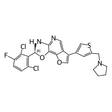 C[C@@H](Oc1c(N)ncc2c(-c3csc(CN4CCCC4)c3)coc12)c1c(Cl)ccc(F)c1Cl